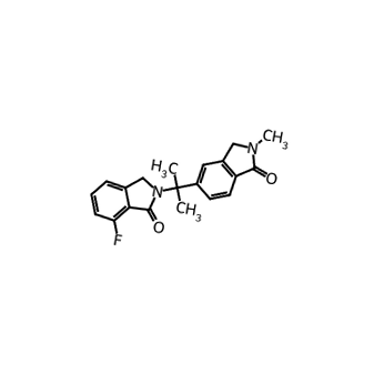 CN1Cc2cc(C(C)(C)N3Cc4cccc(F)c4C3=O)ccc2C1=O